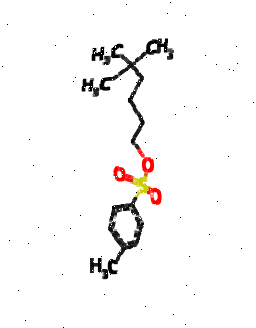 Cc1ccc(S(=O)(=O)OCCCCC(C)(C)C)cc1